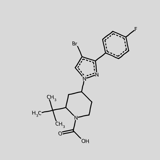 CC(C)(C)C1CC(n2cc(Br)c(-c3ccc(F)cc3)n2)CCN1C(=O)O